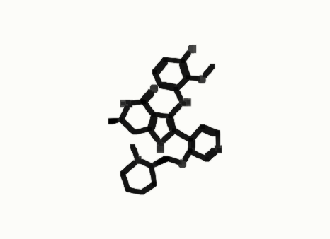 COc1c(Cl)cccc1Nc1c(-c2ccncc2OC[C@H]2CCCCN2C)[nH]c2c1C(=O)N[C@H](C)C2